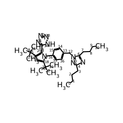 CCCCc1nc(CCCC)n(Cc2ccc(-n3c(C(C)(C)C)cc(C(C)(C)C)c3-c3nnn[nH]3)cc2)n1